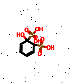 O=S(=O)(O)C1(O)C=CC=CC1(O)S(=O)(=O)O